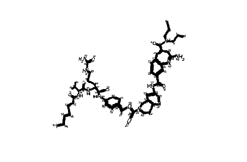 CCCN(CCC)C(=O)C1=Cc2ccc(C(=O)Nc3cnc4c(c3)CN(C(=O)OCc3ccc(NC(=O)[C@H](CCCNC(N)=O)NC(=O)[C@@H](NC(=O)CCCCCI)C(C)C)cc3)CC4)cc2N=C(N)C1